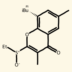 C[CH][C@@H](C)c1cc(C)cc2c(=O)c(C)c([S+]([O-])CC)oc12